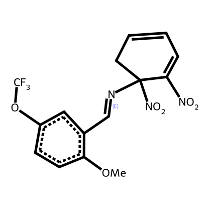 COc1ccc(OC(F)(F)F)cc1/C=N/C1([N+](=O)[O-])CC=CC=C1[N+](=O)[O-]